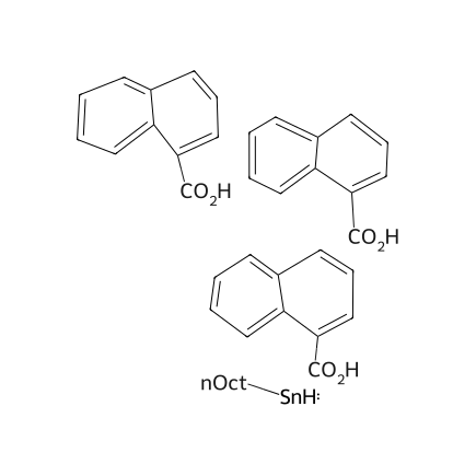 CCCCCCC[CH2][SnH].O=C(O)c1cccc2ccccc12.O=C(O)c1cccc2ccccc12.O=C(O)c1cccc2ccccc12